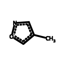 Cc1cnoc1